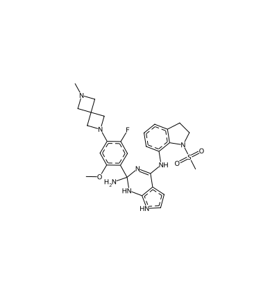 COc1cc(N2CC3(CN(C)C3)C2)c(F)cc1C1(N)N=C(Nc2cccc3c2N(S(C)(=O)=O)CC3)c2cc[nH]c2N1